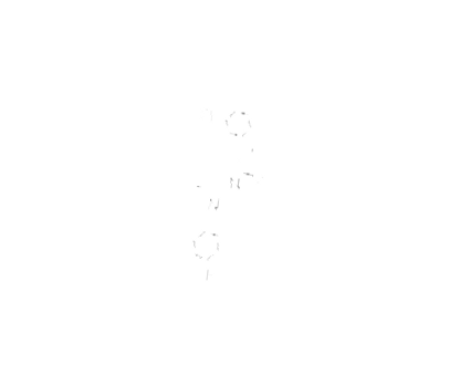 C[C@@H]1CN(Cc2ccc(F)cc2)[C@@H](C)CN1C(=O)COc1cccc(Cl)c1